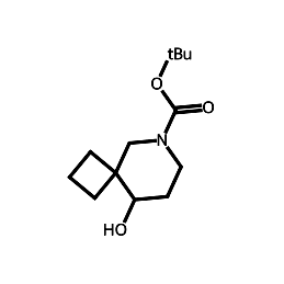 CC(C)(C)OC(=O)N1CCC(O)C2(CCC2)C1